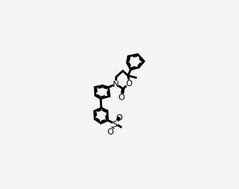 CC1(c2ccccc2)CCN(c2cccc(-c3cccc(S(C)(=O)=O)c3)c2)C(=O)O1